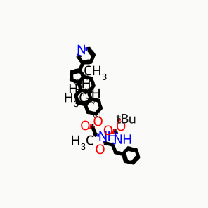 CC(NC(=O)C(Cc1ccccc1)NC(=O)OC(C)(C)C)C(=O)O[C@H]1CC[C@@]2(C)C(=CC[C@@H]3[C@@H]2CC[C@]2(C)C(c4cccnc4)=CC[C@@H]32)C1